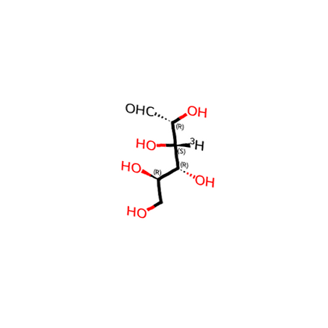 [3H][C@](O)([C@H](O)[C@H](O)CO)[C@@H](O)C=O